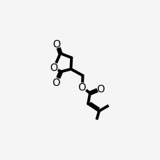 CC(C)=CC(=O)OCC1CC(=O)OC1=O